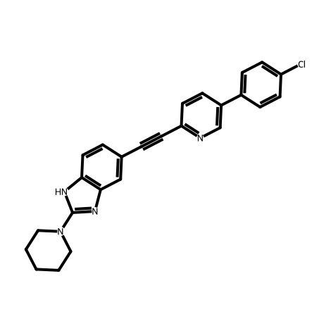 Clc1ccc(-c2ccc(C#Cc3ccc4[nH]c(N5CCCCC5)nc4c3)nc2)cc1